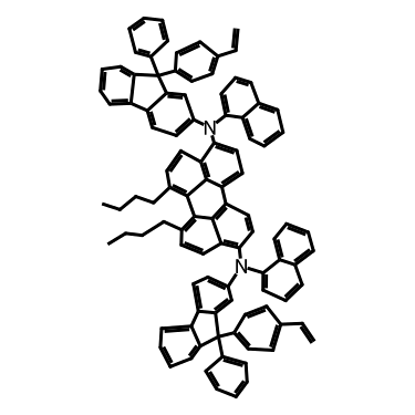 C=Cc1ccc(C2(c3ccccc3)c3ccccc3-c3ccc(N(c4cccc5ccccc45)c4ccc5c6ccc(N(c7ccc8c(c7)C(c7ccccc7)(c7ccc(C=C)cc7)c7ccccc7-8)c7cccc8ccccc78)c7ccc(CCCC)c(c8c(CCCC)ccc4c58)c76)cc32)cc1